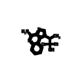 CCC(O)(CC)C(C)n1cnc2c(N)nc3ccccc3c21